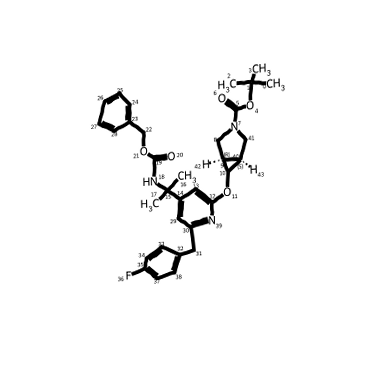 CC(C)(C)OC(=O)N1C[C@@H]2C(Oc3cc(C(C)(C)NC(=O)OCc4ccccc4)cc(Cc4ccc(F)cc4)n3)[C@@H]2C1